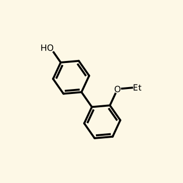 CCOc1ccccc1-c1ccc(O)cc1